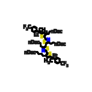 CCCCCCCCCCCCCCc1cc(C(C)(CC)c2ccc(C(F)(F)F)cc2)sc1-c1nc(CCCCCCCCCCCC)c(-c2sc(-c3sc(C(C)(CC)c4ccc(C(F)(F)F)cc4)cc3CCCCCCCCCCCC)nc2CCCCCCCCCCCC)s1